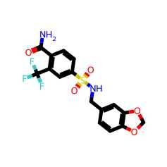 NC(=O)c1ccc(S(=O)(=O)NCc2ccc3c(c2)OCO3)cc1C(F)(F)F